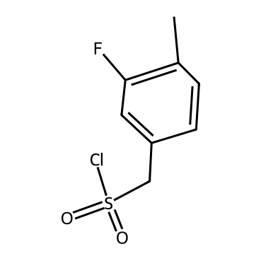 Cc1ccc(CS(=O)(=O)Cl)cc1F